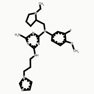 CCN1CCCC1CN(c1ccc(OC)c(F)c1)c1nc(N)nc(NCCCn2ccnc2)n1